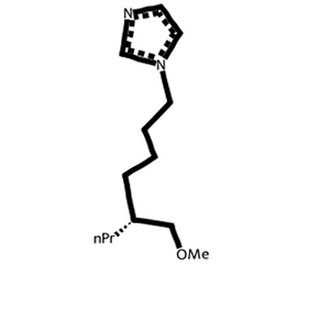 CCC[C@H](CCCCn1ccnc1)COC